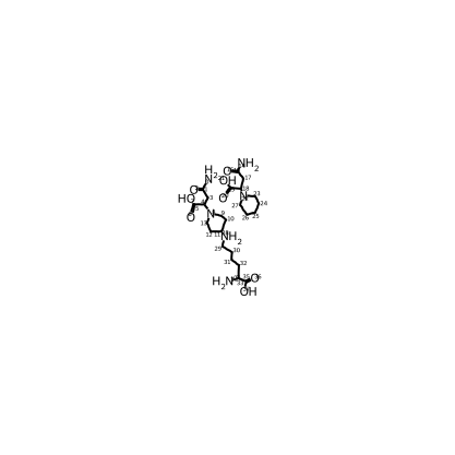 NC(=O)CC(C(=O)O)N1CCCCC1.NC(=O)CC(C(=O)O)N1CCCCC1.NCCCC[C@H](N)C(=O)O